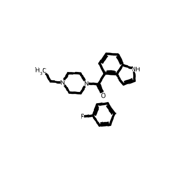 CCN1CCN(C(=O)c2cccc3[nH]ccc23)CC1.Fc1ccccc1